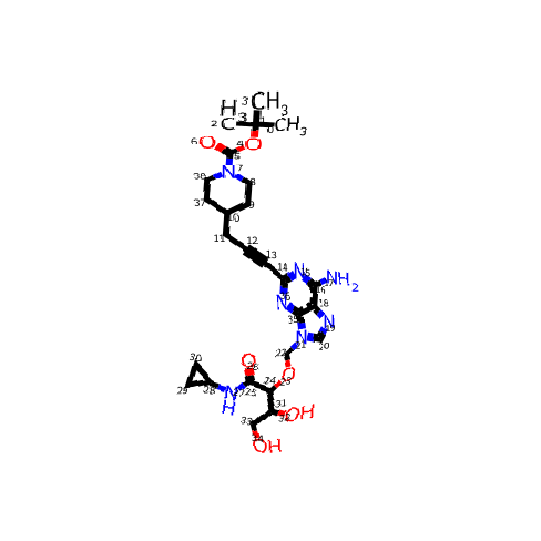 CC(C)(C)OC(=O)N1CCC(CC#Cc2nc(N)c3ncn(COC(C(=O)NC4CC4)C(O)CO)c3n2)CC1